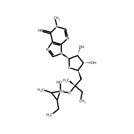 CCC1C(C)[PH]1(O)O[C@@](C)(CC)C[C@H]1O[C@@H](n2cnc3c(=N)n(C)cnc32)[C@H](O)[C@@H]1O